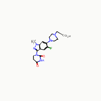 Cn1nc(N2CCC(=O)NC2=O)c2cc(F)c(N3CCN(CC(=O)O)CC3)cc21